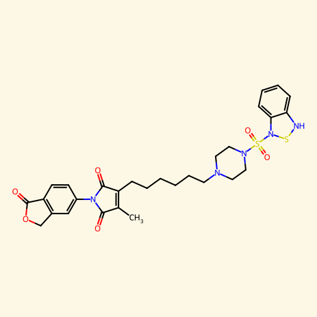 CC1=C(CCCCCCN2CCN(S(=O)(=O)N3SNc4ccccc43)CC2)C(=O)N(c2ccc3c(c2)COC3=O)C1=O